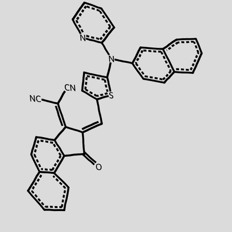 N#CC(C#N)=C1/C(=C\c2ccc(N(c3ccc4ccccc4c3)c3ccccn3)s2)C(=O)c2c1ccc1ccccc21